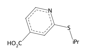 CC(C)Sc1cc(C(=O)O)ccn1